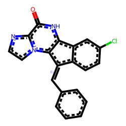 O=c1[nH]c2c3cc(Cl)ccc3/c(=C\c3ccccc3)c2n2ccnc12